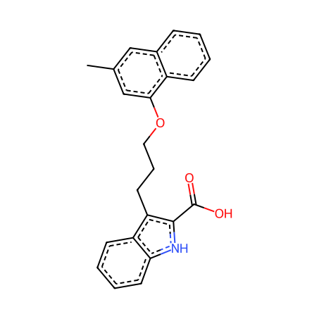 Cc1cc(OCCCc2c(C(=O)O)[nH]c3ccccc23)c2ccccc2c1